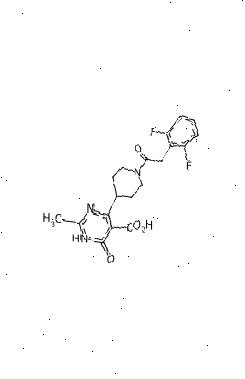 Cc1nc(C2CCN(C(=O)Cc3c(F)cccc3F)CC2)c(C(=O)O)c(=O)[nH]1